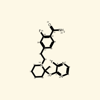 CC1(Oc2nccnc2F)CCCCN1CCc1ccc(C(N)=O)c(F)c1